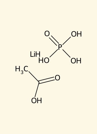 CC(=O)O.O=P(O)(O)O.[LiH]